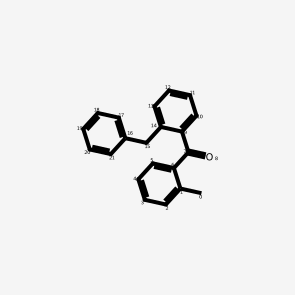 Cc1ccccc1C(=O)c1ccccc1Cc1ccccc1